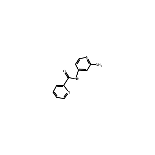 Nc1cc(NC(=O)c2ccccn2)ccn1